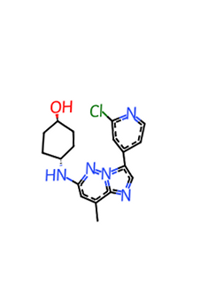 Cc1cc(N[C@H]2CC[C@H](O)CC2)nn2c(-c3ccnc(Cl)c3)cnc12